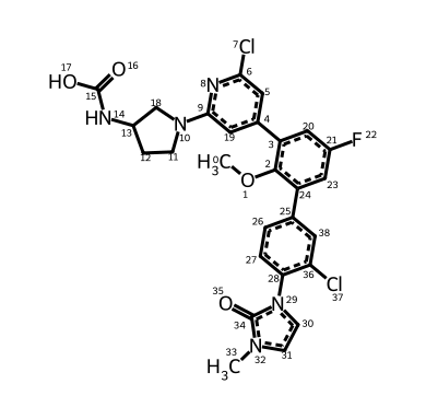 COc1c(-c2cc(Cl)nc(N3CCC(NC(=O)O)C3)c2)cc(F)cc1-c1ccc(-n2ccn(C)c2=O)c(Cl)c1